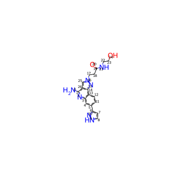 Nc1nc2cc(-c3cc[nH]n3)ccc2c2nn(CCC(=O)NCCO)cc12